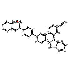 C/C=c1/cccc/c1=C/C(CC)c1ccc(-c2ccc3c(c2)-c2ccc(C#N)cc2N2C3=NC3C=CC=CC32)cc1